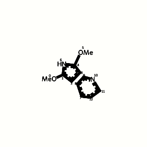 COc1ccc(OC)[nH]1.c1ccncc1